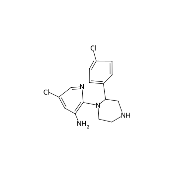 Nc1cc(Cl)cnc1N1CCNCC1c1ccc(Cl)cc1